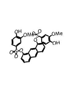 COc1cc(S(=O)(=O)Oc2cccc3cc4cccc(OS(=O)(=O)c5ccc(O)c(OC)c5)c4cc23)ccc1O